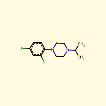 CC(C)N1CCN(c2ccc(F)cc2F)CC1